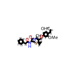 COc1cc(OCC2=C(C)N3C(=O)C(NC(=O)Cc4ccccc4)C3SC23CC3)ccc1/C=C\C=O